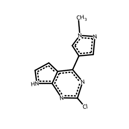 Cn1cc(-c2nc(Cl)nc3[nH]ccc23)cn1